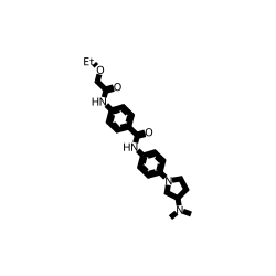 CCOCC(=O)Nc1ccc(C(=O)Nc2ccc(N3CCC(N(C)C)C3)cc2)cc1